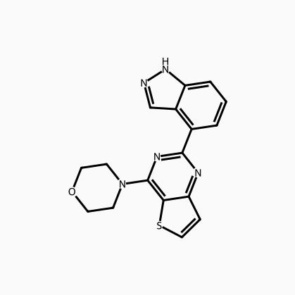 c1cc(-c2nc(N3CCOCC3)c3sccc3n2)c2cn[nH]c2c1